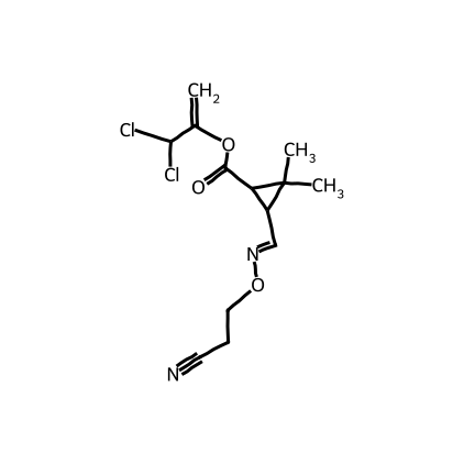 C=C(OC(=O)C1C(/C=N/OCCC#N)C1(C)C)C(Cl)Cl